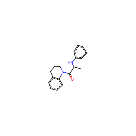 CC(Nc1ccccc1)C(=O)N1CCCc2ccccc21